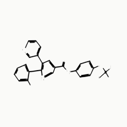 CCc1ccccc1-c1ncc(C(=O)Nc2ccc(OC(F)(F)Cl)cc2)cc1-c1cccnc1